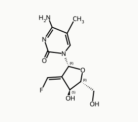 Cc1cn([C@@H]2O[C@H](CO)[C@@H](O)C2=CF)c(=O)nc1N